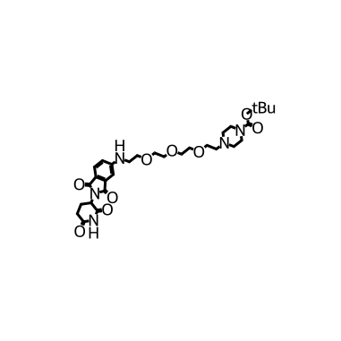 CC(C)(C)OC(=O)N1CCN(CCOCCOCCOCCNc2ccc3c(c2)C(=O)N(C2CCC(=O)NC2=O)C3=O)CC1